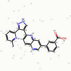 Cc1cccc(-c2n[nH]cc2-c2ccc3ncc(-c4cccc(C(=O)O)c4)cc3n2)n1